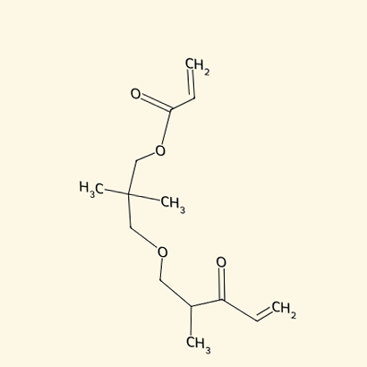 C=CC(=O)OCC(C)(C)COCC(C)C(=O)C=C